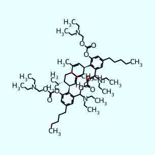 C=C(C)[C@@H]1CCC(C)=C[C@H]1c1c(OC(=O)OCN(CC)CC)cc(CCCCC)cc1C(OC(=O)OC(c1cc(CCCCC)cc(OC(=O)OCN(CC)CC)c1[C@@H]1C=C(C)CC[C@H]1C(=C)C)N(CC)CC)N(CC)CC